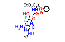 CCOC(=O)[C@H](C)N[P@](=O)(OC[C@H]1O[C@@H](n2cnc3c(NC4CC4)nc(N)nc32)[C@@](F)(CF)[C@@H]1O)Oc1ccccc1